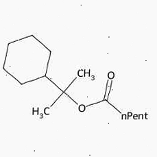 CCCCCC(=O)OC(C)(C)C1CCCCC1